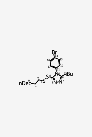 CCCCCCCCCCCCSSc1nnc(C(C)CC)n1-c1ccc(Br)cc1